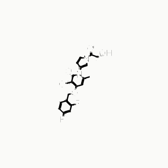 Cc1cc(OCc2ccc(F)cc2F)c(Cl)c(=O)n1-c1ccn(C(=O)CO)c1